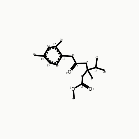 COC(=O)CC(C)(CC(=O)Cc1ccc(C)cc1C)C(C)C